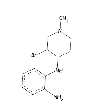 CN1CCC(Nc2ccccc2N)C(Br)C1